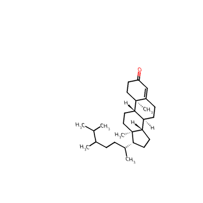 CC(C)C(C)CCC(C)[C@H]1CC[C@H]2[C@@H]3CCC4=CC(=O)CC[C@]4(C)[C@H]3CC[C@]12C